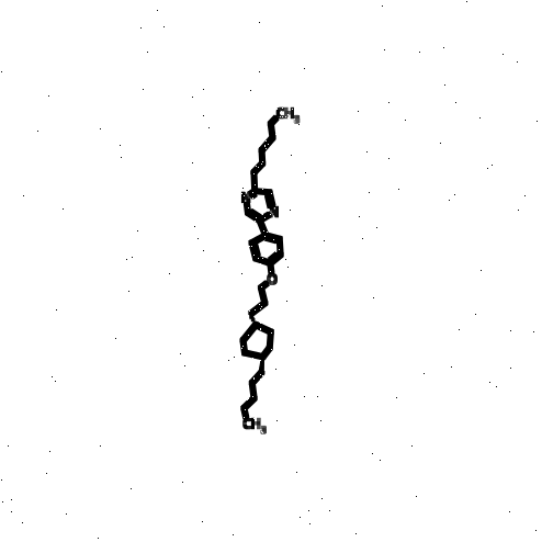 CCCCCCc1cnc(-c2ccc(OCCC[C@H]3CC[C@H](CCCCC)CC3)cc2)cn1